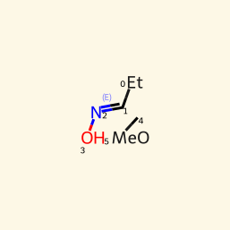 CC/C=N/O.COC